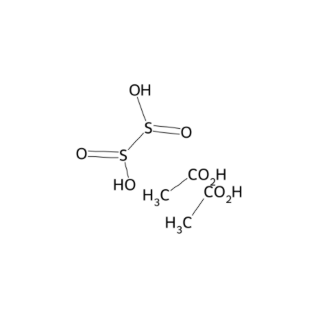 CC(=O)O.CC(=O)O.O=S(O)S(=O)O